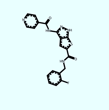 O=C(Nc1n[nH]c2sc(C(=O)NCc3ccccc3F)cc12)c1ccncc1